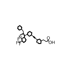 O=C(O)CCc1cccc(C#Cc2cccc(-c3c(Cc4ccccc4)cnc4c(C(F)(F)F)cccc34)c2)c1